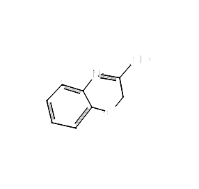 O=CC1=Nc2ccccc2OC1